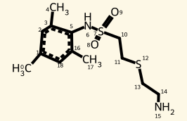 Cc1cc(C)c(NS(=O)(=O)CCSCCN)c(C)c1